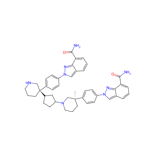 C[C@]1(c2ccc(-n3cc4cccc(C(N)=O)c4n3)cc2)CCCN(C2CCC([C@@]3(c4ccc(-n5cc6cccc(C(N)=O)c6n5)cc4)CCCNC3)C2)C1